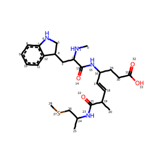 CNC(CC1CNc2ccccc21)C(=O)NC(/C=C/C(C)C(=O)NC(C)CSC)CCC(=O)O